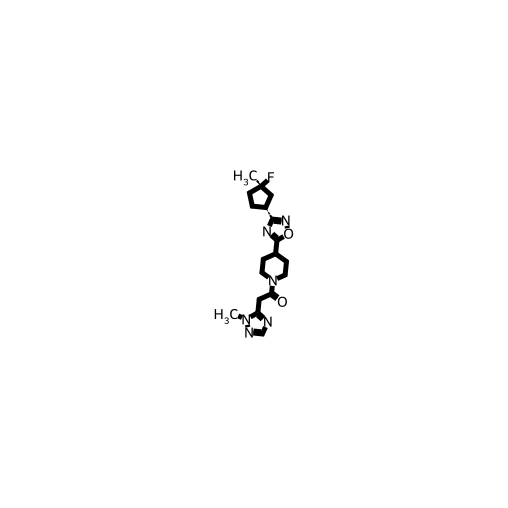 Cn1ncnc1CC(=O)N1CCC(c2nc([C@@H]3CC[C@@](C)(F)C3)no2)CC1